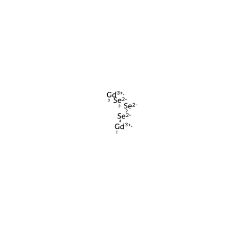 [Gd+3].[Gd+3].[Se-2].[Se-2].[Se-2]